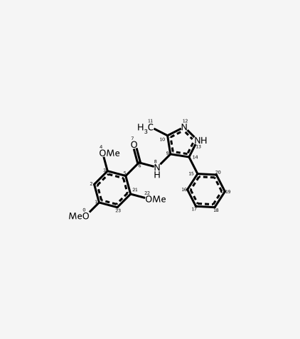 COc1cc(OC)c(C(=O)Nc2c(C)n[nH]c2-c2ccccc2)c(OC)c1